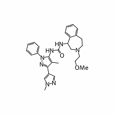 COCCN1CCc2ccccc2C(NC(=O)Nc2c(C)c(-c3cnn(C)c3)nn2-c2ccccc2)C1